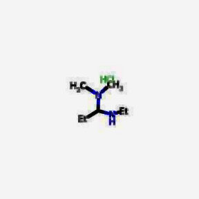 CCNC(CC)N(C)C.Cl